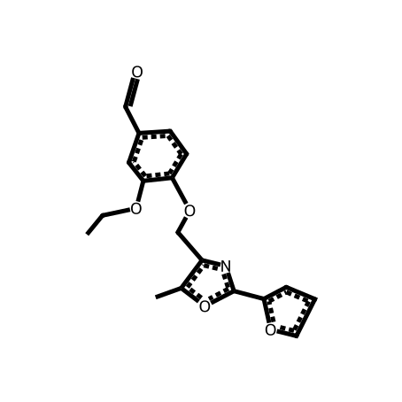 CCOc1cc(C=O)ccc1OCc1nc(-c2ccco2)oc1C